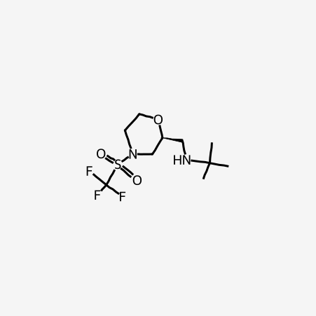 CC(C)(C)NC[C@H]1CN(S(=O)(=O)C(F)(F)F)CCO1